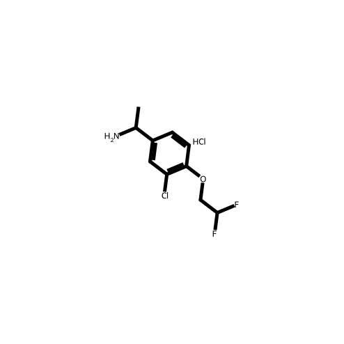 CC(N)c1ccc(OCC(F)F)c(Cl)c1.Cl